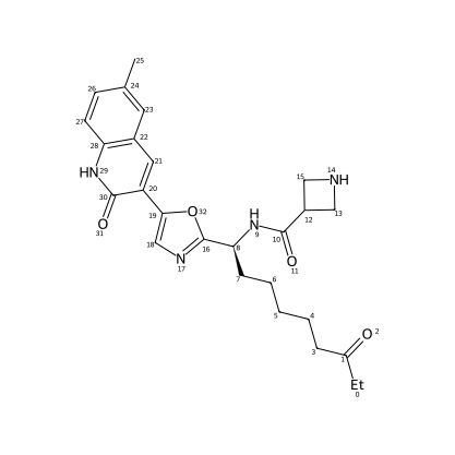 CCC(=O)CCCCC[C@H](NC(=O)C1CNC1)c1ncc(-c2cc3cc(C)ccc3[nH]c2=O)o1